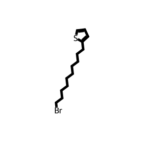 BrCCCCCCCCCCc1cccs1